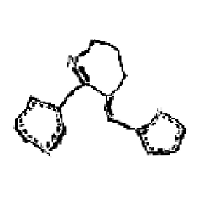 C(=C1CCCN=C1c1cccnc1)c1cccs1